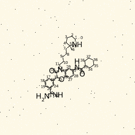 C[C@H]1CCC[C@@](C)(CCCCCN2C(=O)C(c3cccc(C(=N)N)c3)Oc3ccc(NC(=O)C4CCCCC4)cc32)N1